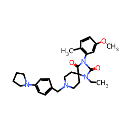 CCN1C(=O)N(c2cc(OC)ccc2C)C(=O)C12CCN(Cc1ccc(N3CCCC3)cc1)CC2